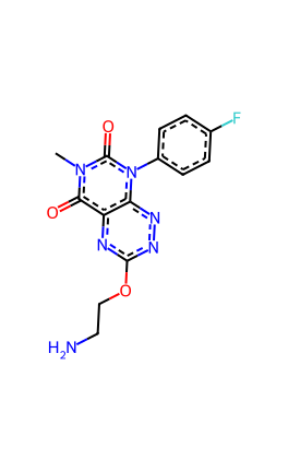 Cn1c(=O)c2nc(OCCN)nnc2n(-c2ccc(F)cc2)c1=O